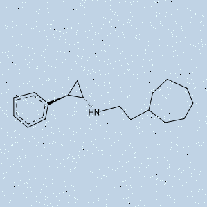 c1ccc([C@H]2C[C@@H]2NCCC2CCCCCC2)cc1